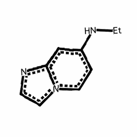 CCNc1ccn2ccnc2c1